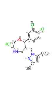 CC(C)(C)c1cc(C(=O)O)n(C[C@@H]2CNCCO[C@H]2c2ccc(Cl)c(Cl)c2)n1.Cl